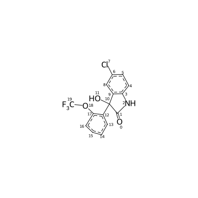 O=C1Nc2ccc(Cl)cc2C1(O)c1ccccc1OC(F)(F)F